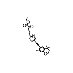 CCOC(=O)C(=O)CCCc1ncc(C#Cc2cc3c(cc2C)OCCC3(C)C)cn1